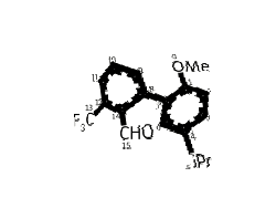 COc1ccc(C(C)C)cc1-c1cccc(C(F)(F)F)c1C=O